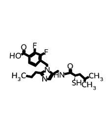 CCCc1ncc(CNC(=O)[C@@H](S)CC(C)C)n1Cc1ccc(C(=O)O)c(F)c1F